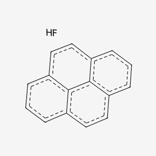 F.c1cc2ccc3cccc4ccc(c1)c2c34